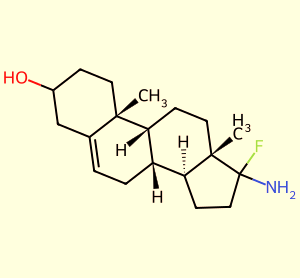 C[C@]12CCC(O)CC1=CC[C@@H]1[C@H]2CC[C@@]2(C)[C@H]1CCC2(N)F